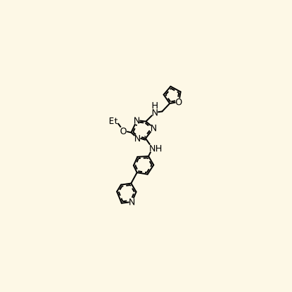 CCOc1nc(NCc2ccco2)nc(Nc2ccc(-c3cccnc3)cc2)n1